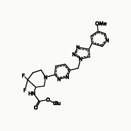 COc1cncc(-c2cn(Cc3ccc(N4CCC(F)(F)C(NC(=O)OC(C)(C)C)C4)nn3)nn2)c1